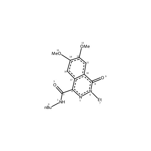 CCCCNC(=O)c1nn(CC)c(=O)c2cc(OC)c(OC)cc12